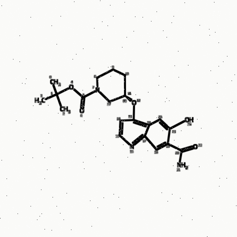 CC(C)(C)OC(=O)N1CCC[C@@H](Oc2ccnc3cc(C(N)=O)c(O)cc23)C1